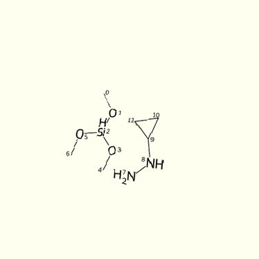 CO[SiH](OC)OC.NNC1CC1